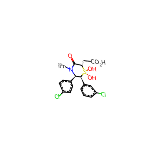 CC(C)N1C(=O)[C@H](CC(=O)O)S(O)(O)[C@@H](c2cccc(Cl)c2)[C@H]1c1ccc(Cl)cc1